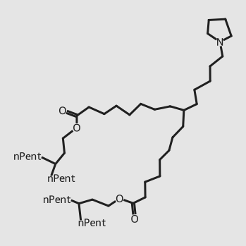 CCCCCC(CCCCC)CCOC(=O)CCCCCCCC(CCCCCCCC(=O)OCCC(CCCCC)CCCCC)CCCCCN1CCCC1